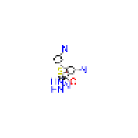 CN1C(=N)N[C@](C)(c2ccc(-c3cccc(C#N)c3)s2)[C@@H](c2cccc(C#N)c2)C1=O